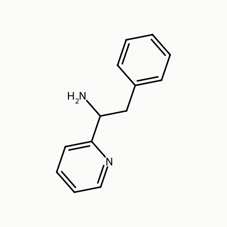 NC(Cc1ccccc1)c1ccccn1